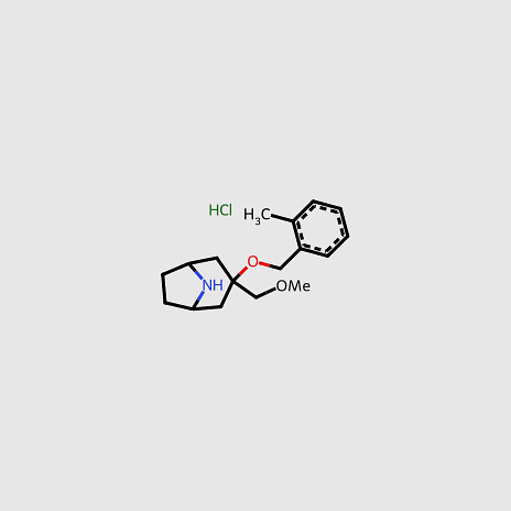 COCC1(OCc2ccccc2C)CC2CCC(C1)N2.Cl